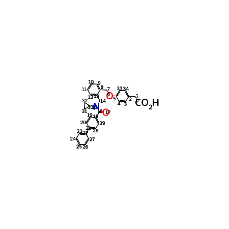 O=C(O)Cc1ccc(OCc2ccccc2CN(C(=O)c2ccc(-c3ccccc3)cc2)C2CC2)cc1